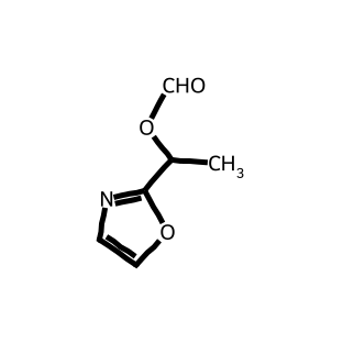 CC(OC=O)c1ncco1